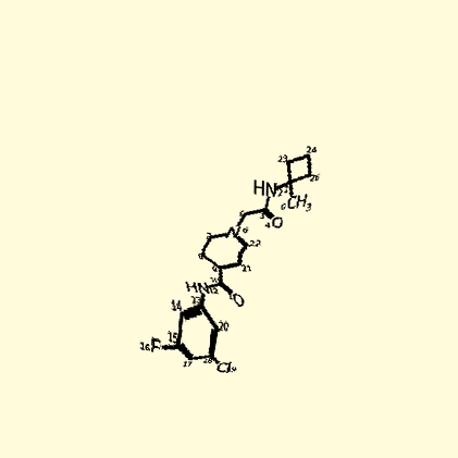 CC1(NC(=O)CN2CCC(C(=O)Nc3cc(F)cc(Cl)c3)CC2)CCC1